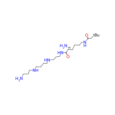 CC(C)(C)CC(=O)NCCCC[C@@H](N)C(=O)NCCCNCCCCNCCCN